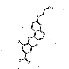 O=[N+]([O-])c1cc(F)c(Oc2ccnc3cc(OCCO)ccc23)c(F)c1